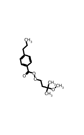 CCCc1ccc(C(=O)OO[CH]CC(C)(C)OC)cc1